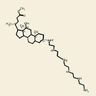 COC(=O)CC[C@@H](C)C1CCC2C3CCC4C[C@@H](NCCNCCNCCNCCNCCN)CC[C@]4(C)C3C[C@H](O)[C@@]21C